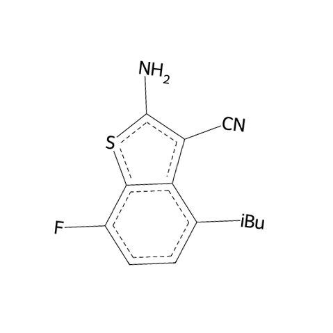 CCC(C)c1ccc(F)c2sc(N)c(C#N)c12